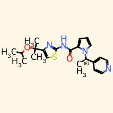 CC(C)OC(C)(C)c1csc(NC(=O)c2cccn2[C@H](C)c2ccncc2)n1